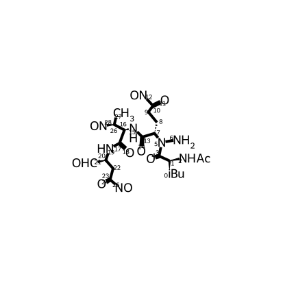 CC[C@H](C)[C@H](NC(C)=O)C(=O)N(N)[C@@H](CCC(=O)N=O)C(=O)N[C@H](C(=O)N[C@H](C=O)CC(=O)N=O)[C@H](C)N=O